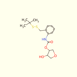 CC(C)(C)SSCc1ccccc1NC(=O)OC1COCC1O